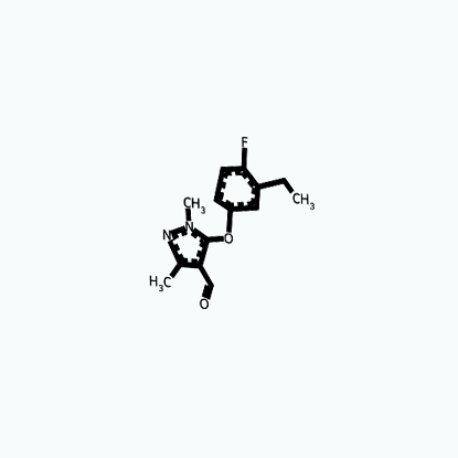 CCc1cc(Oc2c(C=O)c(C)nn2C)ccc1F